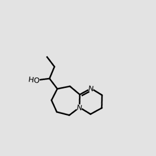 CCC(O)C1CCCN2CCCN=C2C1